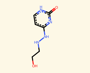 O=c1nc(NNCCO)cc[nH]1